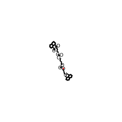 O=C(OCCCCOC(=O)OCCCN1C(=O)c2cccc3cccc(c23)C1=O)OCCCN1Cc2cccc3cccc(c23)C1